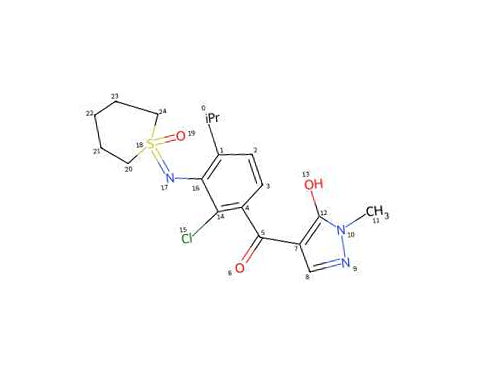 CC(C)c1ccc(C(=O)c2cnn(C)c2O)c(Cl)c1N=S1(=O)CCCCC1